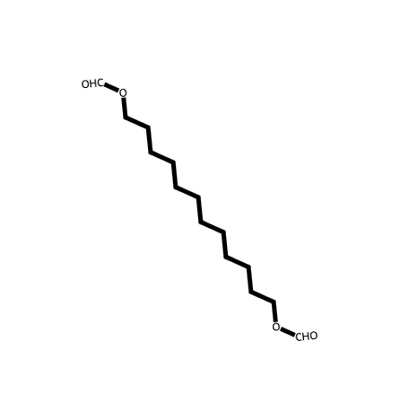 O=COCCCCCCCCCCCCOC=O